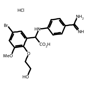 COc1cc(Br)cc(C(Nc2ccc(C(=N)N)cc2)C(=O)O)c1OCCO.Cl